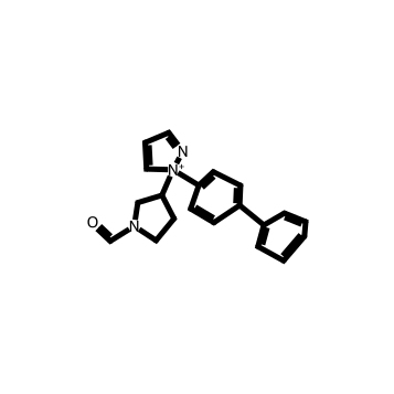 O=CN1CCC([N+]2(c3ccc(-c4ccccc4)cc3)C=CC=N2)C1